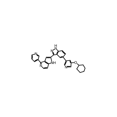 c1cncc(-c2nccc3[nH]c(-c4n[nH]c5ccc(-c6cncc(OC7CCCCC7)c6)cc45)cc23)c1